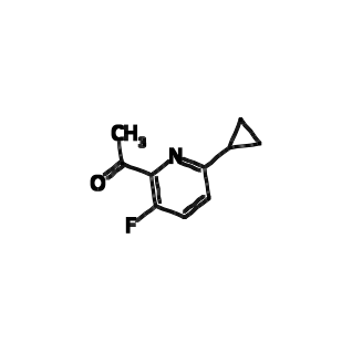 CC(=O)c1nc(C2CC2)ccc1F